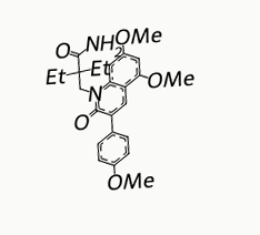 CCC(CC)(Cn1c(=O)c(-c2ccc(OC)cc2)cc2c(OC)cc(OC)cc21)C(N)=O